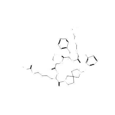 CC(=O)N1CCC2(CCN(C(=O)[C@@H](CCCCNC(=O)OC(C)(C)C)NC(=O)[C@@H](CC(C)C)NC(=O)[C@@H](Cc3ccccc3)NC(=O)[C@@H](Cc3ccccc3)NCOCOC(C)(C)C)C2)C1